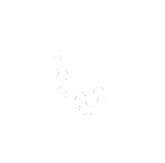 Cc1cc(C)n(C)c(=O)c1-c1ccc(CC(NC(=O)c2c(F)cc(N3CCOC[C@@H]3C(F)(F)F)cc2F)C(=O)O)c2ccccc12